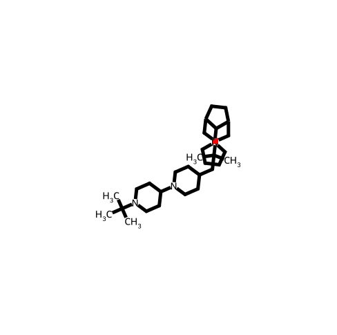 CC(C)(C)N1CCC(N2CCC(CC(C)(C)N3CC4CCC(C3)C4N3CCCC3)CC2)CC1